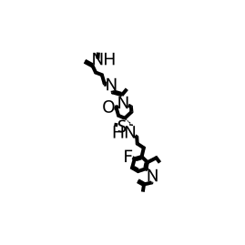 C=C(C)/C=N\c1ccc(F)c(CCCNC[C@@]2(SC)CCN(/C(C)=C/N=C/CCC(=C)NC)C(=O)C2)c1CC